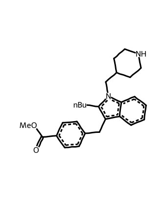 CCCCc1c(Cc2ccc(C(=O)OC)cc2)c2ccccc2n1CC1CCNCC1